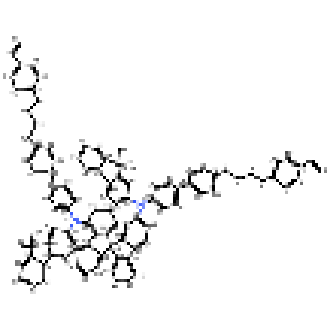 C=Cc1ccc(CCCCc2ccc(-c3ccc(N(c4ccc5c(c4)C(C)(C)c4ccccc4-5)c4ccc5c(c4)C4(c6ccccc6-5)c5ccccc5-c5c(N(c6ccc(-c7ccc(CCCCc8ccc(C=C)cc8)cc7)cc6)c6ccc7c(c6)C(C)(C)c6ccccc6-7)cccc54)cc3)cc2)cc1